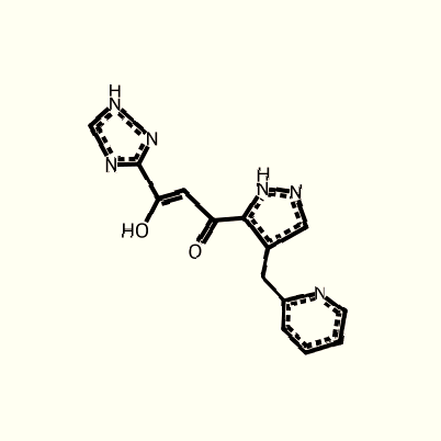 O=C(C=C(O)c1nc[nH]n1)c1[nH]ncc1Cc1ccccn1